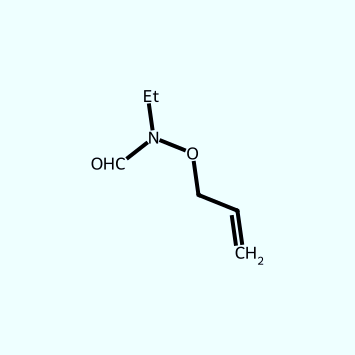 [CH2]CN(C=O)OCC=C